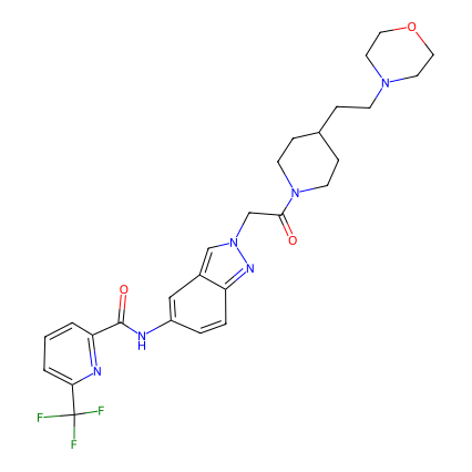 O=C(Nc1ccc2nn(CC(=O)N3CCC(CCN4CCOCC4)CC3)cc2c1)c1cccc(C(F)(F)F)n1